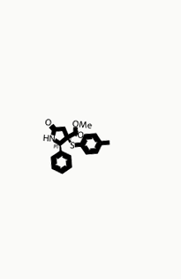 COC(=O)[C@@]1(Sc2ccc(C)cc2)CC(=O)N[C@@H]1c1ccccc1